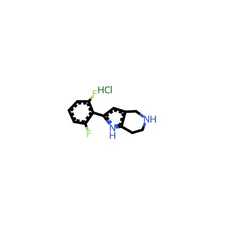 Cl.Fc1cccc(F)c1-c1cc2c([nH]1)CCNC2